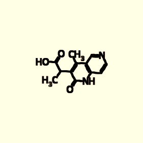 Cc1c(C(C)C(=O)O)c(=O)[nH]c2ccncc12